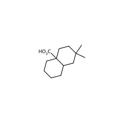 CC1(C)CCC2(C(=O)O)CCCCC2C1